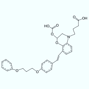 O=C(O)CCCN1CC(OC(=O)O)Oc2c(/C=C/c3ccc(OCCCOc4ccccc4)cc3)cccc21